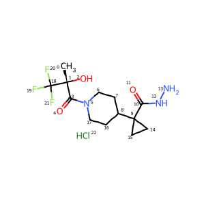 C[C@@](O)(C(=O)N1CCC(C2(C(=O)NN)CC2)CC1)C(F)(F)F.Cl